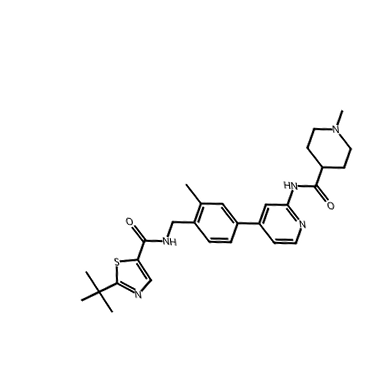 Cc1cc(-c2ccnc(NC(=O)C3CCN(C)CC3)c2)ccc1CNC(=O)c1cnc(C(C)(C)C)s1